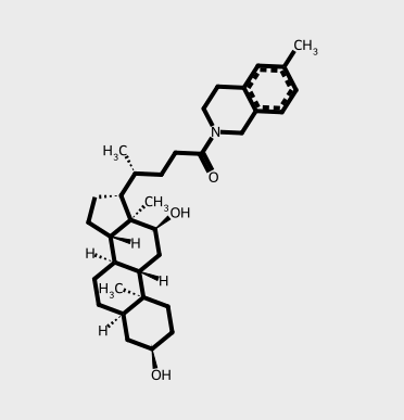 Cc1ccc2c(c1)CCN(C(=O)CC[C@@H](C)[C@H]1CC[C@H]3[C@@H]4CC[C@@H]5C[C@H](O)CC[C@]5(C)[C@H]4C[C@H](O)[C@]13C)C2